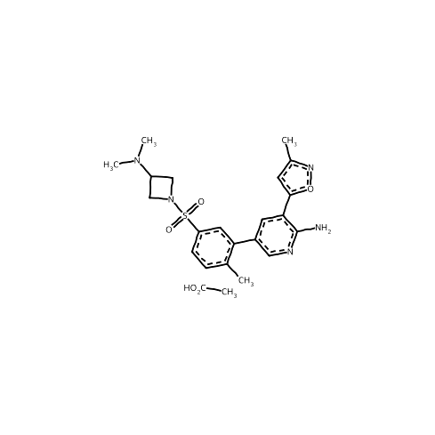 CC(=O)O.Cc1cc(-c2cc(-c3cc(S(=O)(=O)N4CC(N(C)C)C4)ccc3C)cnc2N)on1